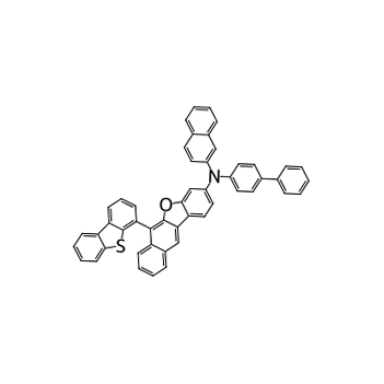 c1ccc(-c2ccc(N(c3ccc4ccccc4c3)c3ccc4c(c3)oc3c(-c5cccc6c5sc5ccccc56)c5ccccc5cc34)cc2)cc1